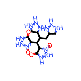 O=C1NN[N+](=O)C1C(C(CC1CNNN1)C1CNNN1)C1C(=O)NN[N+]1=O